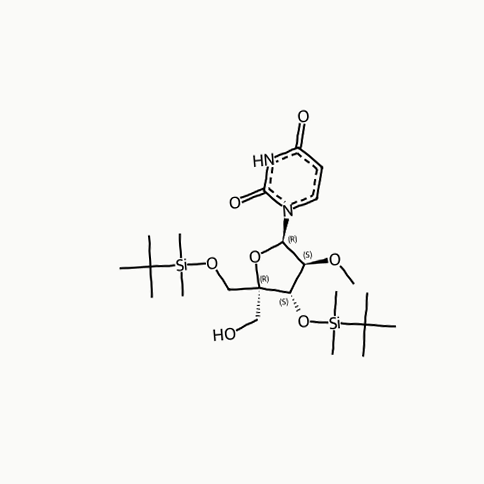 CO[C@@H]1[C@H](n2ccc(=O)[nH]c2=O)O[C@](CO)(CO[Si](C)(C)C(C)(C)C)[C@H]1O[Si](C)(C)C(C)(C)C